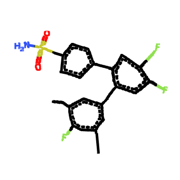 Cc1cc(-c2cc(F)c(F)cc2-c2ccc(S(N)(=O)=O)cc2)cc(C)c1F